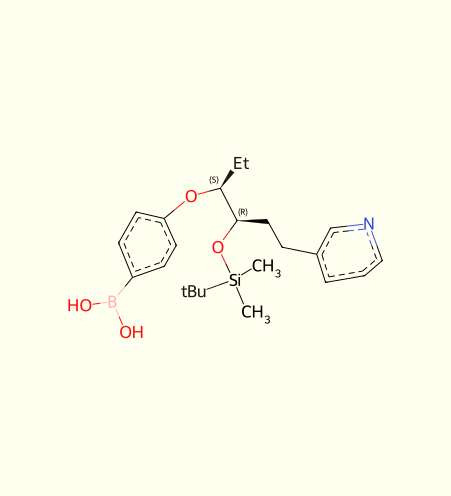 CC[C@H](Oc1ccc(B(O)O)cc1)[C@@H](CCc1cccnc1)O[Si](C)(C)C(C)(C)C